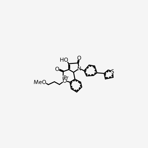 COCCCOc1ccccc1C1C(C(=O)C(C)C)=C(O)C(=O)N1c1ccc(-c2ccsc2)cc1